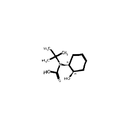 CC(C)(C)N(C(=O)O)[C@H]1CCCC[C@H]1O